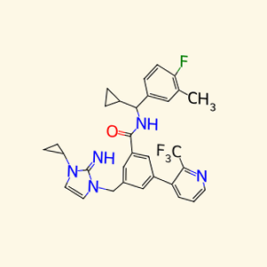 Cc1cc(C(NC(=O)c2cc(Cn3ccn(C4CC4)c3=N)cc(-c3cccnc3C(F)(F)F)c2)C2CC2)ccc1F